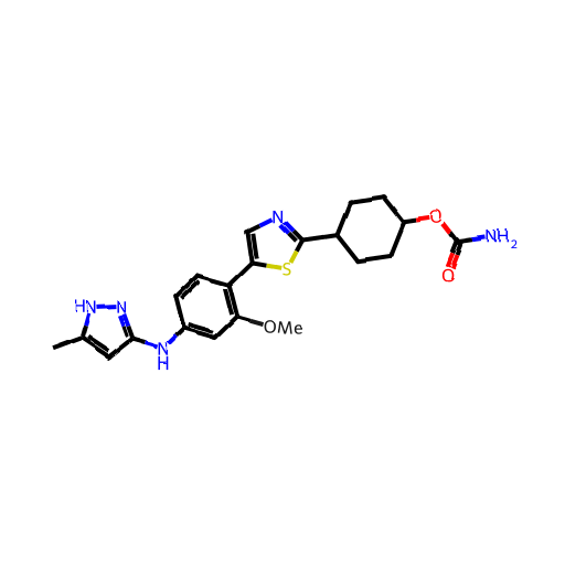 COc1cc(Nc2cc(C)[nH]n2)ccc1-c1cnc(C2CCC(OC(N)=O)CC2)s1